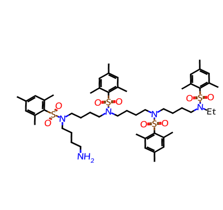 CCN(CCCCN(CCCCN(CCCCN(CCCCN)S(=O)(=O)c1c(C)cc(C)cc1C)S(=O)(=O)c1c(C)cc(C)cc1C)S(=O)(=O)c1c(C)cc(C)cc1C)S(=O)(=O)c1c(C)cc(C)cc1C